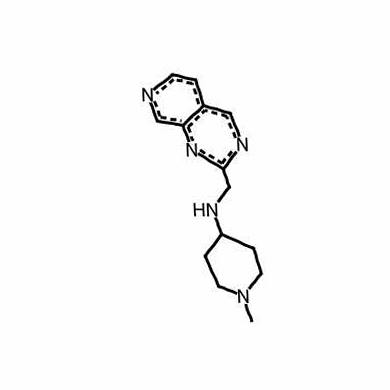 CN1CCC(NCc2ncc3ccncc3n2)CC1